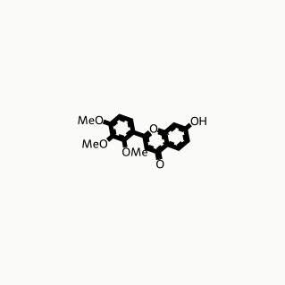 COc1ccc(-c2cc(=O)c3ccc(O)cc3o2)c(OC)c1OC